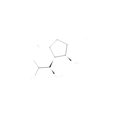 CCOC(=O)[C@H]1C[C@@H](N)[C@H]([C@@H](NC(C)=O)C(CC)CC)[C@@H]1O